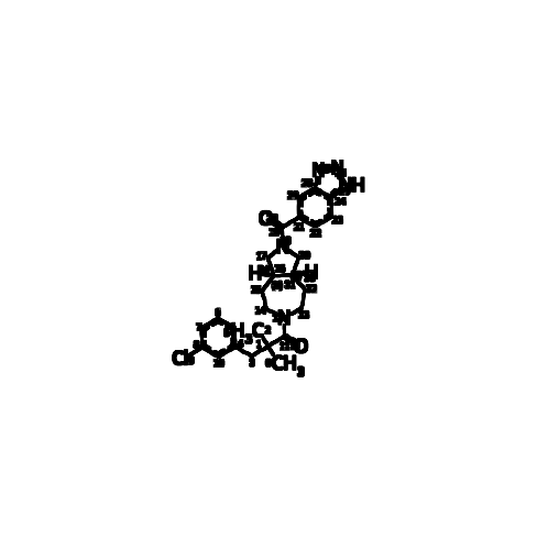 CC(C)(Cc1cccc(Cl)c1)C(=O)N1CC[C@@H]2CN(C(=O)c3ccc4[nH]nnc4c3)C[C@@H]2CC1